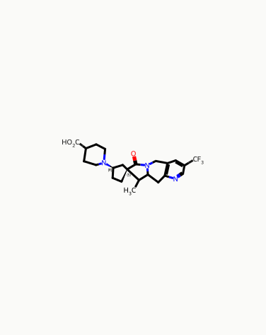 CC1C2Cc3ncc(C(F)(F)F)cc3CN2C(=O)[C@]12CC[C@@H](N1CCC(C(=O)O)CC1)C2